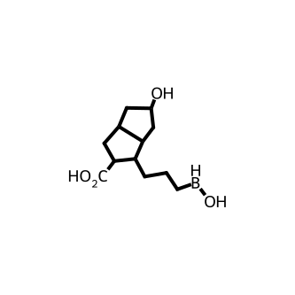 O=C(O)C1CC2CC(O)CC2C1CCCBO